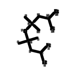 CCC(CC)C[Si](C)(C)O[Si](C)(C)CC(CC)CC